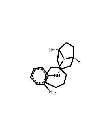 Nc1ccccc1N[C@@H]1C[C@H]2CC[C@@H](C1)N2C1CCCCCC1